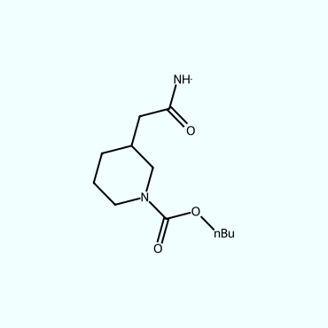 CCCCOC(=O)N1CCCC(CC([NH])=O)C1